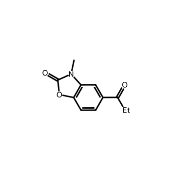 CCC(=O)c1ccc2oc(=O)n(C)c2c1